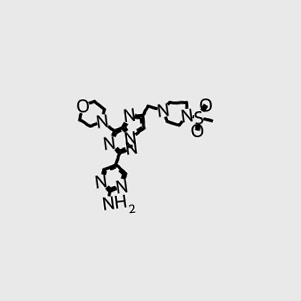 CS(=O)(=O)N1CCN(Cc2cn3nc(-c4cnc(N)nc4)nc(N4CCOCC4)c3n2)CC1